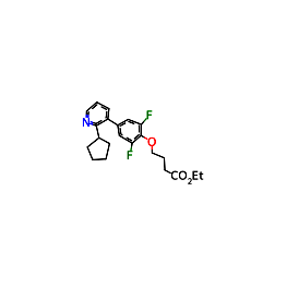 CCOC(=O)CCCOc1c(F)cc(-c2cccnc2C2CCCC2)cc1F